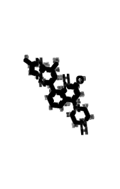 Cc1cn2nc(-c3cccc4c(N5CCNCC5)cc(=O)[nH]c34)cc(C)c2n1